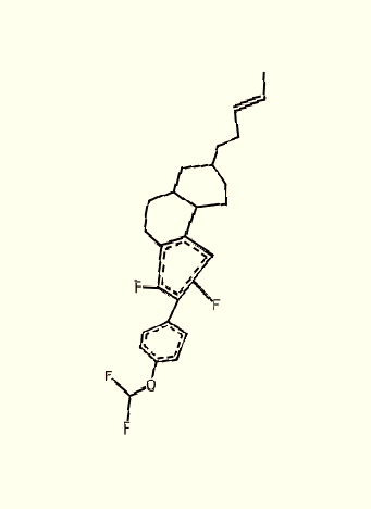 C/C=C/CCC1CCC2c3cc(F)c(-c4ccc(OC(F)F)cc4)c(F)c3CCC2C1